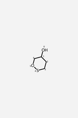 OC1CCSOC1